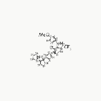 COc1ccc(-n2nc(C(F)(F)F)c3c2C(=O)N(c2ccc(C4(CN5CCCC5)CCCC4)cc2)CC3)cc1